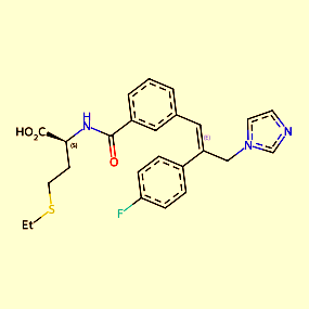 CCSCC[C@H](NC(=O)c1cccc(/C=C(/Cn2ccnc2)c2ccc(F)cc2)c1)C(=O)O